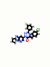 O=C(Nc1cnc2c(c1)nc1n2CCC1)c1cc2ccc(Cl)cc2n1Cc1cccc(F)c1